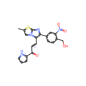 Cc1cn2c(/C=C/C(=O)c3ccc[nH]3)c(-c3ccc(CO)c([N+](=O)[O-])c3)nc2s1